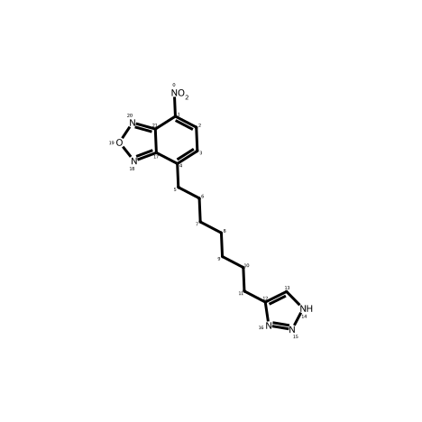 O=[N+]([O-])c1ccc(CCCCCCCc2c[nH]nn2)c2nonc12